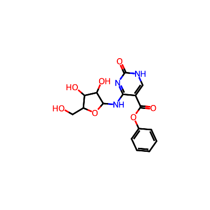 O=C(Oc1ccccc1)c1c[nH]c(=O)nc1NC1OC(CO)C(O)C1O